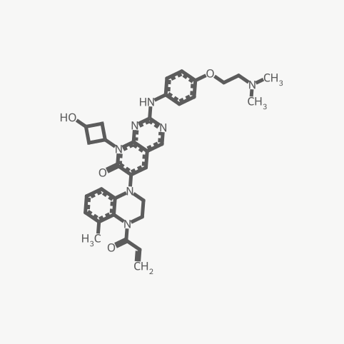 C=CC(=O)N1CCN(c2cc3cnc(Nc4ccc(OCCN(C)C)cc4)nc3n(C3CC(O)C3)c2=O)c2cccc(C)c21